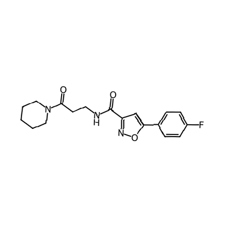 O=C(NCCC(=O)N1CCCCC1)c1cc(-c2ccc(F)cc2)on1